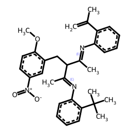 C=C(C)c1ccccc1/N=C(\C)C(Cc1cc([N+](=O)[O-])ccc1OC)/C(C)=N/c1ccccc1C(C)(C)C